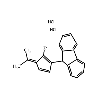 CC(C)=C1C=CC(C2c3ccccc3-c3ccccc32)=[C]1[Zr].Cl.Cl